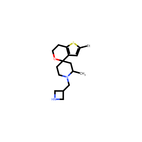 CCc1cc2c(s1)CCOC21CCN(CC2CNC2)C(C)C1